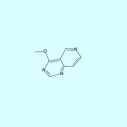 COc1ncnc2ccncc12